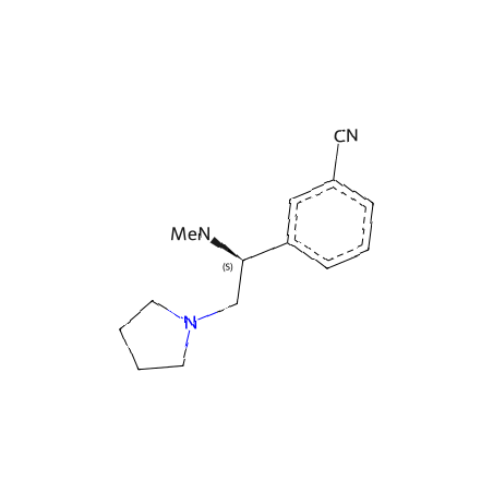 CN[C@H](CN1CCCC1)c1cccc(C#N)c1